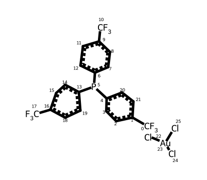 FC(F)(F)c1ccc(P(c2ccc(C(F)(F)F)cc2)c2ccc(C(F)(F)F)cc2)cc1.[Cl][Au]([Cl])[Cl]